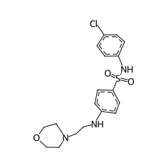 O=S(=O)(Nc1ccc(Cl)cc1)c1ccc(NCCN2CCOCC2)cc1